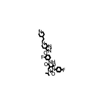 CC(C)n1cc(C(=O)Nc2ccc(Oc3ncnc4c3CCN(CCC3CCN(C)CC3)C4)c(F)c2)c(=O)n(-c2ccc(F)cc2)c1=O